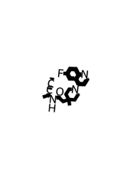 C=C=C=C(C)NC(=O)CC1(C)CCN(c2ccnc3ccc(F)cc23)CC1